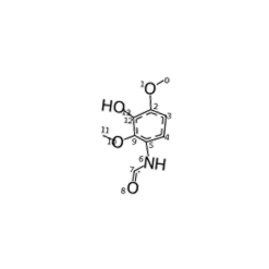 COc1ccc(N[C]=O)c(OC)c1O